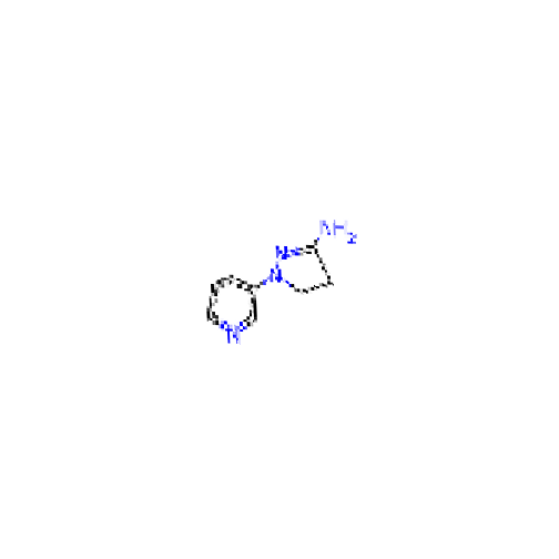 NC1=NN(c2cccnc2)CC1